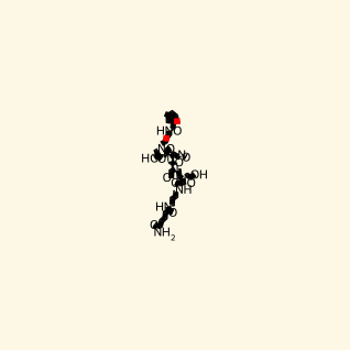 Cc1cccc(C(=O)NCCCCN(CC(=O)O)C(=O)CN(CCN(CC=O)CCN(CC(=O)O)CC(=O)NCCCCNC(=O)CCCCC(N)=O)CC(=O)N=O)c1